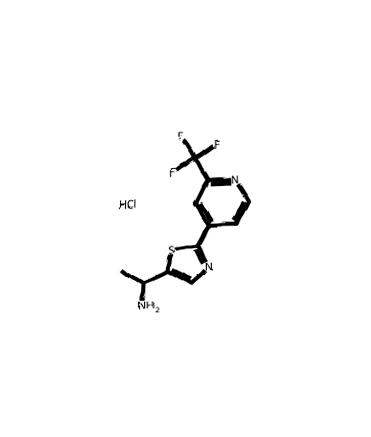 CC(N)c1cnc(-c2ccnc(C(F)(F)F)c2)s1.Cl